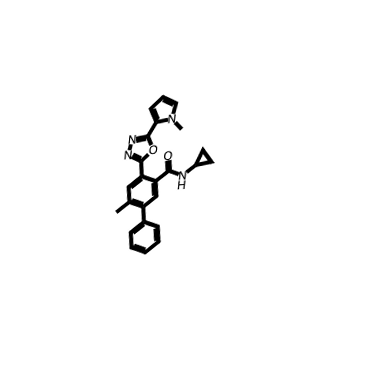 Cc1cc(-c2nnc(-c3cccn3C)o2)c(C(=O)NC2CC2)cc1-c1ccccc1